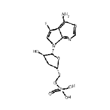 Nc1ncnc2c1c(F)cn2[C@@H]1O[C@H](COP(=O)(O)O)C[C@H]1O